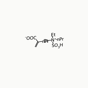 C=C(CCC)C(=O)[O-].CCC[N+](CC)(CC)S(=O)(=O)O